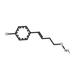 NOCCC=Cc1ccc(Cl)cc1